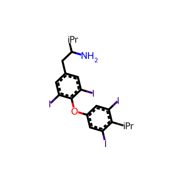 CC(C)c1c(I)cc(Oc2c(I)cc(CC(N)C(C)C)cc2I)cc1I